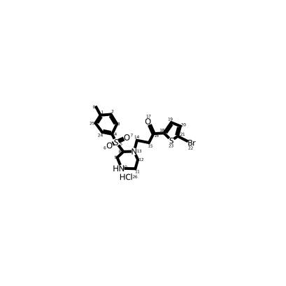 Cc1ccc(S(=O)(=O)C2CNCCN2CCC(=O)c2ccc(Br)s2)cc1.Cl